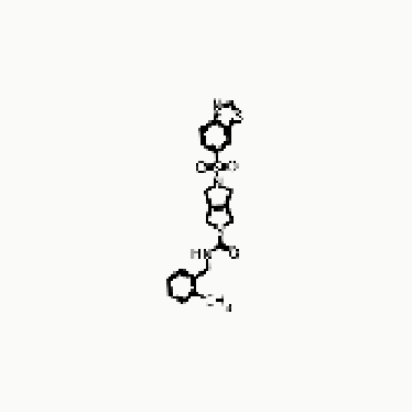 Cc1ccccc1CNC(=O)N1CC2=C(C1)CN(S(=O)(=O)c1ccc3ncsc3c1)C2